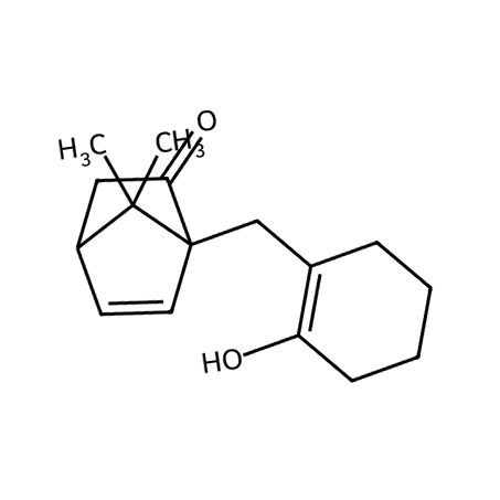 CC1(C)C2C=CC1(CC1=C(O)CCCC1)C(=O)C2